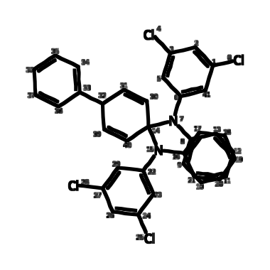 Clc1cc(Cl)cc(N(c2ccccc2)C2(N(c3ccccc3)c3cc(Cl)cc(Cl)c3)C=CC(c3ccccc3)C=C2)c1